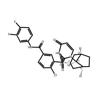 O=C(Nc1ccc(F)c(F)c1)c1ccc(Cl)c(S(=O)(=O)[C@@H]2C[C@H]3CC[C@@H](C2)[C@H]3n2ccc(=O)[nH]c2=O)c1